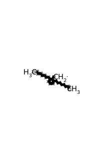 [CH2]Cc1c(CCCCCCCC)cccc1CCCCCCCC